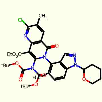 CCOC(=O)c1c(N(C(=O)OC(C)(C)C)C(=O)OC(C)(C)C)n(-c2c(C)ccc3c2cnn3C2CCCCO2)c(=O)c2cc(C)c(Cl)nc12